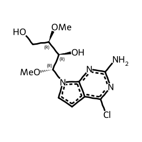 CO[C@H]([C@H](O)[C@@H](CO)OC)n1ccc2c(Cl)nc(N)nc21